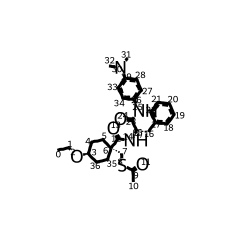 CCO[C@H]1CC[C@@](CSC(C)=O)(C(=O)N[C@@H](Cc2ccccc2)C(=O)Nc2ccc(N(C)C)cc2)CC1